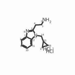 Cl.Cl.NCCc1nc2ccccc2n1CC1CC1